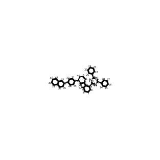 C1=Cc2c(oc3cccc(-c4nc(-c5ccccc5)nc(-c5ccccc5)n4)c23)C(c2ccc(-c3ccc4ccccc4c3)cc2)C1